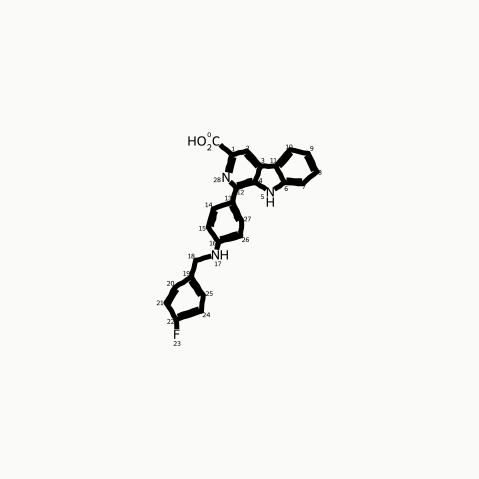 O=C(O)c1cc2c([nH]c3ccccc32)c(-c2ccc(NCc3ccc(F)cc3)cc2)n1